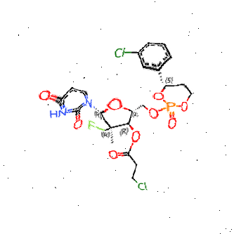 C[C@@]1(F)[C@H](OC(=O)CCCl)[C@@H](COP2(=O)OCC[C@@H](c3cccc(Cl)c3)O2)O[C@H]1n1ccc(=O)[nH]c1=O